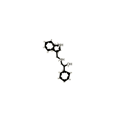 OC(CNCc1c[nH]c2ccccc12)c1ccccc1